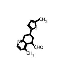 Cc1ccc(C2Cc3nccc(C)c3C(C=O)C2)s1